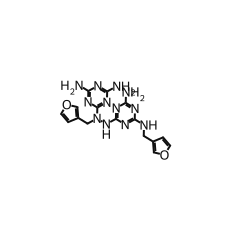 Nc1nc(NCc2ccoc2)nc(NN(Cc2ccoc2)c2nc(N)nc(N)n2)n1